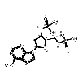 CNc1ncnc2c1ncn2C1C[C@H](OP(=O)(O)O)[C@@H](COP(=O)(O)O)O1